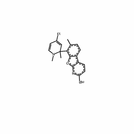 CCC1=CC(C)(c2c(C)ccc3c2oc2nc(C(C)(C)C)ccc23)N(C)C=C1